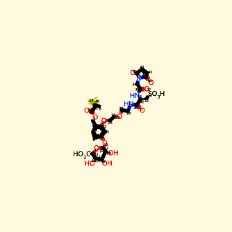 CC1(C(=O)OCc2ccc(O[C@@H]3O[C@H](C(=O)O)[C@@H](O)[C@H](O)[C@H]3O)cc2OCCOCCNC(=O)[C@H](CS(=O)(=O)O)NC(=O)CN2C(=O)C=CC2=O)SS1